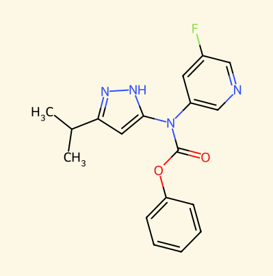 CC(C)c1cc(N(C(=O)Oc2ccccc2)c2cncc(F)c2)[nH]n1